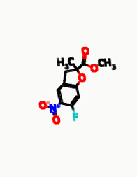 COC(=O)C1(C)Cc2cc([N+](=O)[O-])c(F)cc2O1